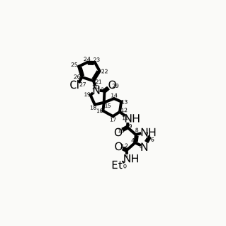 CCNC(=O)c1nc[nH]c1C(=O)NC1CCC2(CC1)CCN(c1ccccc1Cl)C2=O